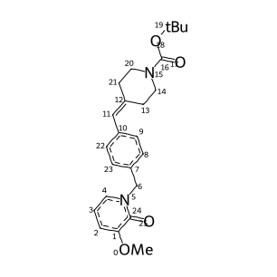 COc1cccn(Cc2ccc(C=C3CCN(C(=O)OC(C)(C)C)CC3)cc2)c1=O